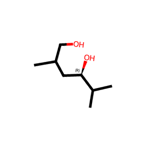 CC(CO)C[C@@H](O)C(C)C